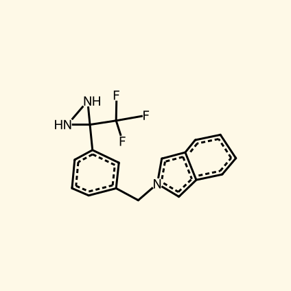 FC(F)(F)C1(c2cccc(Cn3cc4ccccc4c3)c2)NN1